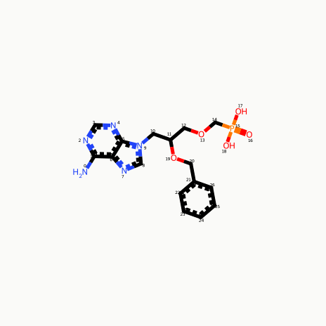 Nc1ncnc2c1ncn2CC(COCP(=O)(O)O)OCc1ccccc1